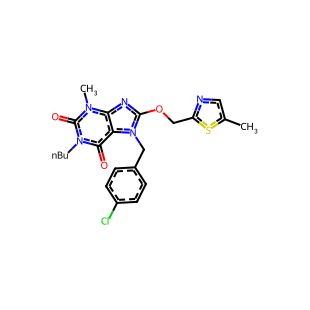 CCCCn1c(=O)c2c(nc(OCc3ncc(C)s3)n2Cc2ccc(Cl)cc2)n(C)c1=O